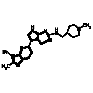 Cc1nc2ccc(-c3c[nH]c4nc(NCC5CCN(C)CC5)ncc34)nc2n1C(C)C